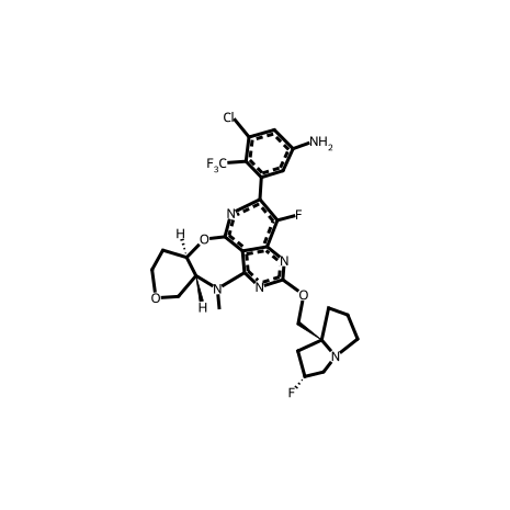 CN1c2nc(OC[C@@]34CCCN3C[C@H](F)C4)nc3c(F)c(-c4cc(N)cc(Cl)c4C(F)(F)F)nc(c23)O[C@@H]2CCOC[C@H]21